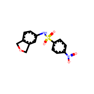 O=[N+]([O-])c1ccc(S(=O)(=O)Nc2ccc3c(c2)COC3)cc1